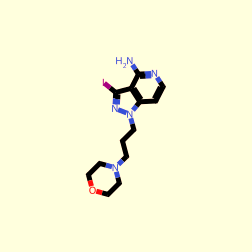 Nc1nccc2c1c(I)nn2CCCN1CCOCC1